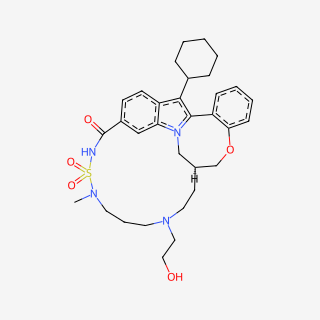 CN1CCCN(CCO)CC[C@@H]2COc3ccccc3-c3c(C4CCCCC4)c4ccc(cc4n3C2)C(=O)NS1(=O)=O